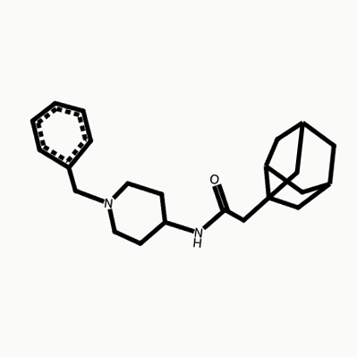 O=C(CC12CC3CC(CC1C3)C2)NC1CCN(Cc2ccccc2)CC1